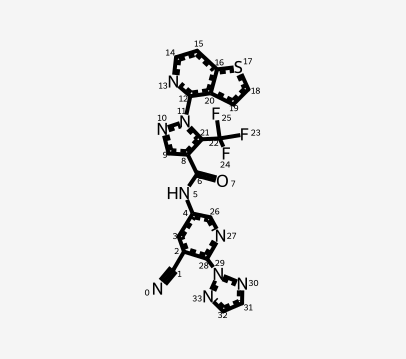 N#Cc1cc(NC(=O)c2cnn(-c3nccc4sccc34)c2C(F)(F)F)cnc1-n1nccn1